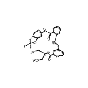 CC(C)C[C@H](CO)NC(=O)c1cc(CNc2ccccc2C(=O)Nc2ccc3c(c2)OC(F)(F)O3)ccn1